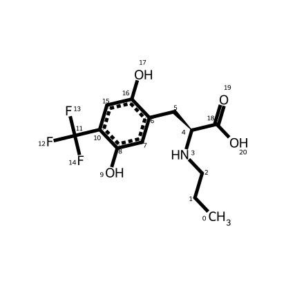 CCCN[C@@H](Cc1cc(O)c(C(F)(F)F)cc1O)C(=O)O